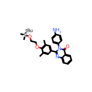 Cc1cc(-c2nc3ccccc3c(=O)n2-c2ccc(N)cc2)cc(C)c1OCCO[Si](C)(C)C(C)(C)C